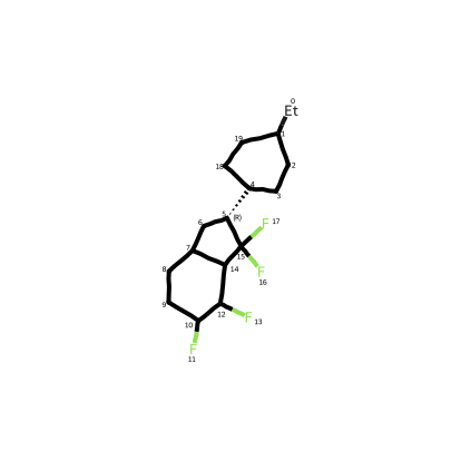 CCC1CCC([C@H]2CC3CCC(F)C(F)C3C2(F)F)CC1